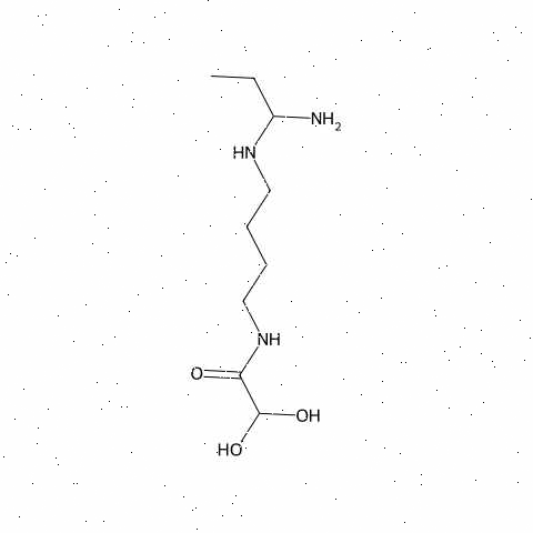 CCC(N)NCCCCNC(=O)C(O)O